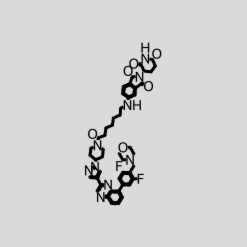 O=C1CCC(N2C(=O)c3ccc(NCCCCCCC(=O)N4CCC(n5cc(-c6cnc7cccc(-c8cc(F)c(CN9CCOCC9)c(F)c8)c7n6)cn5)CC4)cc3C2=O)C(=O)N1